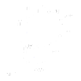 COC(=O)/C=C1\CC2CC(CO)OC(=O)C[C@H](O)C[C@@H]3CCC[C@H](C[C@@H]4CCO[C@H](/C=C/C(C)(C)[C@](O)(O2)[C@H]1OC(=O)c1cccc(NC(C)=O)c1)O4)O3